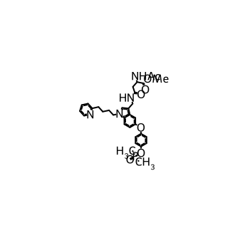 COC(=O)C(CC(=O)NCc1cn(CCCCc2ccccn2)c2ccc(Oc3ccc(OP(C)(C)=O)cc3)cc12)NC(C)=O